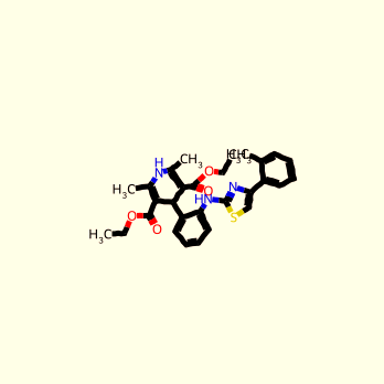 CCOC(=O)C1=C(C)NC(C)=C(C(=O)OCC)C1c1ccccc1Nc1nc(-c2ccccc2C)cs1